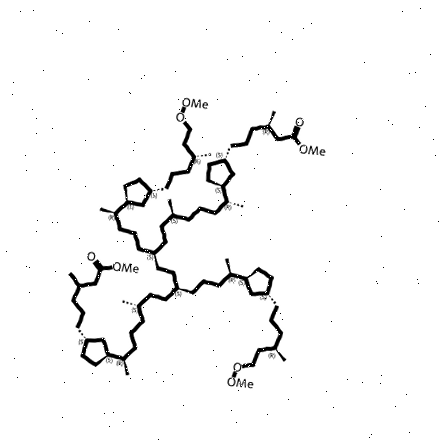 COOCC[C@H](C)CCC[C@H]1CC[C@H]([C@H](C)CCC[C@@H](CC[C@@H](C)CCC[C@@H](C)[C@H]2CC[C@H](CCCC(C)CC(=O)OC)C2)CC[C@@H](CCC[C@@H](C)[C@H]2CC[C@H](CCC[C@@H](C)CCOOC)C2)CC[C@@H](C)CCC[C@@H](C)[C@H]2CC[C@H](CCC[C@@H](C)CC(=O)OC)C2)C1